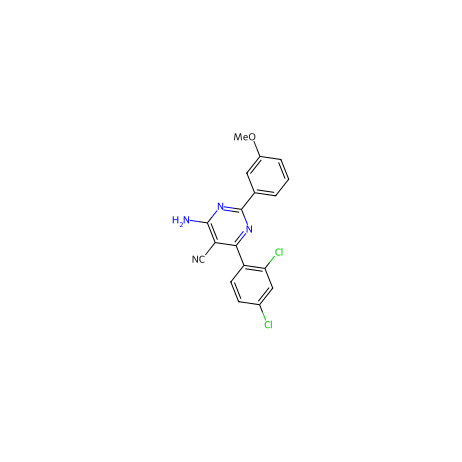 COc1cccc(-c2nc(N)c(C#N)c(-c3ccc(Cl)cc3Cl)n2)c1